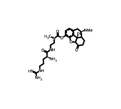 CC[C@]12c3c4ccc(OC(=O)N(C)CCNC(=O)[C@@H](N)CCCNC(=N)N)c3OC1C(=O)CCC2[C@H](NC)C4